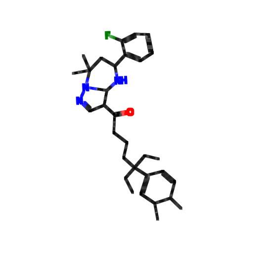 CCC(CC)(CCCC(=O)C1C=NN2C1NC(c1ccccc1F)CC2(C)C)C1=CC(C)C(C)C=C1